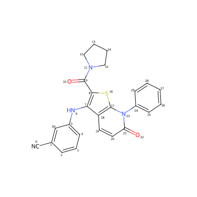 N#Cc1cccc(Nc2c(C(=O)N3CCCC3)sc3c2ccc(=O)n3-c2ccccc2)c1